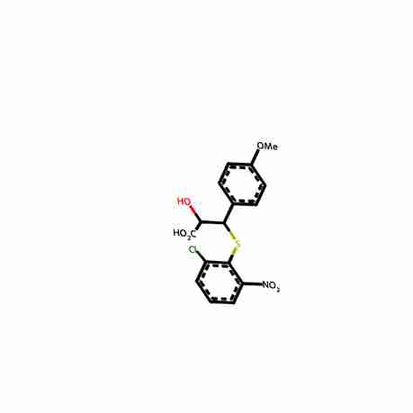 COc1ccc(C(Sc2c(Cl)cccc2[N+](=O)[O-])C(O)C(=O)O)cc1